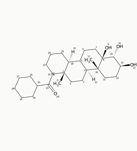 C[C@]12CC[C@H]3C(CC[C@]4(O)[C@H](O)[C@@H](O)CC[C@]34C)[C@@H]1CCCN2C(=O)C1CCCCC1